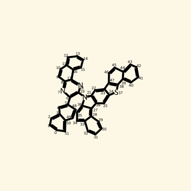 c1ccc2cc(-c3nc4ccc5ccccc5c4nc3-n3c4cc5c(cc4c4c6ccccc6ccc43)sc3c4ccccc4ccc53)ccc2c1